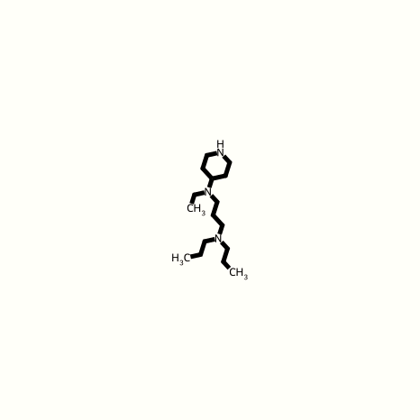 CCCN(CCC)CCCN(CC)C1CCNCC1